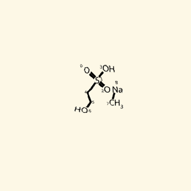 O=S(=O)(O)CCO.[CH3][Na]